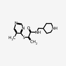 C=C(Sc1ncncc1C)C(=O)NCC1CCNCC1